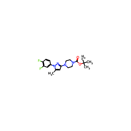 Cc1cc(N2CCN(C(=O)OC(C)(C)C)CC2)nn1-c1ccc(F)c(F)c1